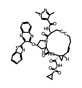 Cc1nn(C)cc1C(=O)N[C@H]1CCCCCC=C[C@@H]2C[C@@]2(C(=O)NS(=O)(=O)C2CC2)NC(=O)[C@@H]2C[C@@H](Oc3nc4ccccc4nc3-c3nc4ccccc4s3)CN2C1=O